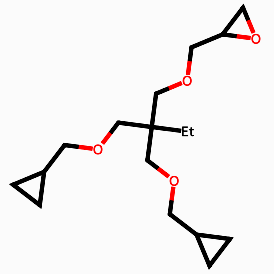 CCC(COCC1CC1)(COCC1CC1)COCC1CO1